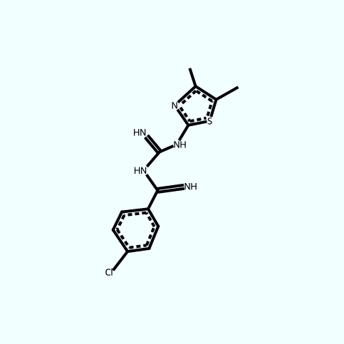 Cc1nc(NC(=N)NC(=N)c2ccc(Cl)cc2)sc1C